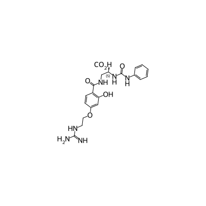 N=C(N)NCCOc1ccc(C(=O)NC[C@H](NC(=O)Nc2ccccc2)C(=O)O)c(O)c1